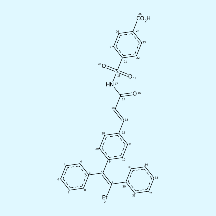 CC/C(=C(\c1ccccc1)c1ccc(/C=C/C(=O)NS(=O)(=O)c2ccc(C(=O)O)cc2)cc1)c1ccccc1